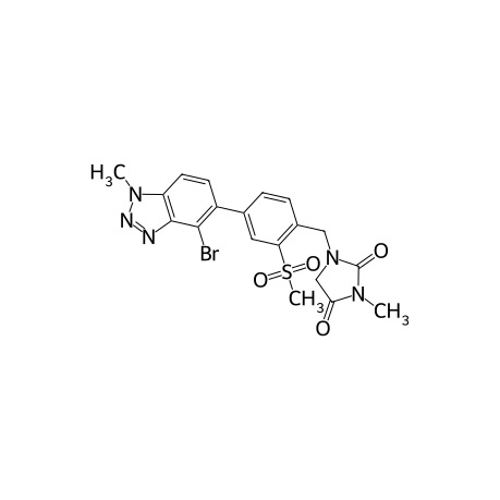 CN1C(=O)CN(Cc2ccc(-c3ccc4c(nnn4C)c3Br)cc2S(C)(=O)=O)C1=O